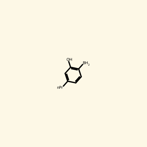 Bc1ccc(CCC)cc1O